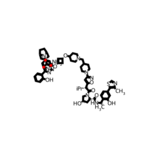 Cc1ncsc1-c1ccc([C@H](C)NC(=O)[C@@H]2C[C@@H](O)CN2C(=O)[C@@H](c2cc(N3CCC(CN4CCC(O[C@H]5C[C@H](Oc6cc(N7C8CCC7CN(c7cc(-c9ccccc9O)nnc7N)C8)ccn6)C5)CC4)CC3)no2)C(C)C)c(O)c1